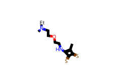 CCN(C)CCOCCNc1c(C)c(=S)c1=S